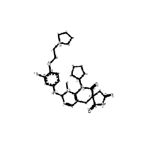 CN1C2=C(C=NC1Nc1ccc(OCCN3CCCC3)c(F)c1)CC1(CC(=O)NC1=O)C(=O)N2C1CCCC1